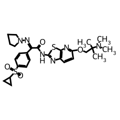 CN(C)C(C)(C)COc1ccc2nc(NC(=O)/C(=N/N3CCCC3)c3ccc(S(=O)(=O)C4CC4)cc3)sc2n1